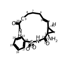 N[C@]12C[C@@H]1/C=C/CCCCC(=O)Nc1ccccc1S(=O)(=O)NC2=O